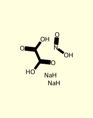 O=C(O)C(=O)O.O=NO.[NaH].[NaH]